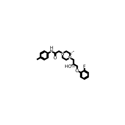 Cc1ccc(NC(=O)CN2CCN(C[C@H](O)COc3ccccc3F)[C@@H](C)C2)cc1